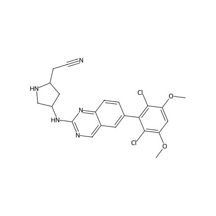 COc1cc(OC)c(Cl)c(-c2ccc3nc(NC4CNC(CC#N)C4)ncc3c2)c1Cl